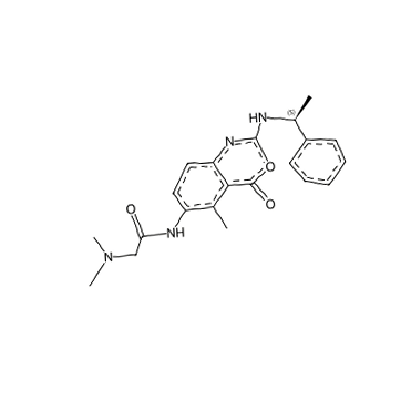 Cc1c(NC(=O)CN(C)C)ccc2nc(N[C@@H](C)c3ccccc3)oc(=O)c12